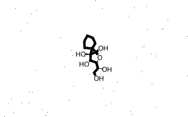 OC[C@@H](O)[C@H]1OC2(O)C3(CCCCC3)[C@@]2(O)[C@@H]1O